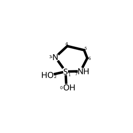 OS1(O)[N]CCCN1